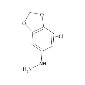 Cl.NNc1ccc2c(c1)OCO2